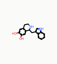 Oc1cc2c(cc1O)C(Cc1c[nH]c3ccccc13)NCC2